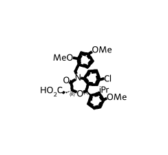 COc1ccc(CN2C(=O)[C@@H](CC(=O)O)O[C@H](c3cccc(OC)c3C(C)C)c3cc(Cl)ccc32)c(OC)c1